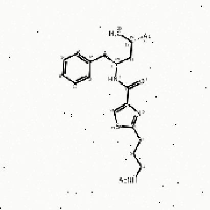 CC(=O)NCCCc1nc(C(=O)N[C@@H](Cc2ccccc2)C[C@H](C)C(C)=O)cs1